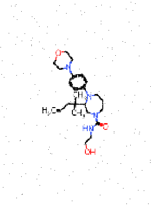 C=CCC(C)(C)C1CN(C(=O)NCCO)CCCN1c1ccc(N2CCOCC2)cc1